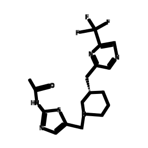 CC(=O)Nc1ncc(CN2CCC[C@@H](Cc3cncc(C(F)(F)F)n3)C2)s1